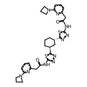 O=C(Cc1cccc(N2CCC2)n1)Nc1nnc([C@H]2CCC[C@H](c3nnc(NC(=O)Cc4cccc(N5CCC5)n4)s3)C2)s1